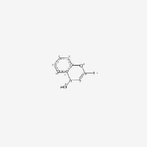 OC1C=C(I)Oc2ccccc21